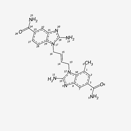 Cc1cc(C(N)=O)cc2nc(N)n(C/C=C/Cn3c(N)nc4cc(C(N)=O)ccc43)c12